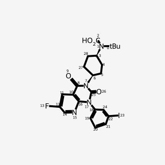 CC(C)(C)N(C(=O)O)[C@H]1CC[C@@H](n2c(=O)c3cc(F)cnc3n(-c3cccc(I)c3)c2=O)CC1